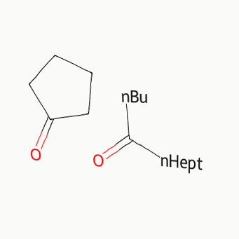 CCCCCCCC(=O)CCCC.O=C1CCCC1